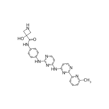 Cc1cccc(-c2nccc(Nc3ccnc(Nc4ccc(NC(=O)C5(O)CNC5)cc4)n3)n2)n1